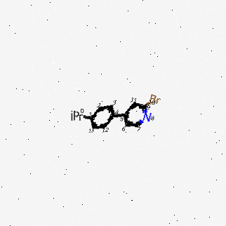 CC(C)c1ccc(-c2ccnc(Br)c2)cc1